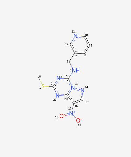 CSc1nc(NCc2cccnc2)n2ncc([N+](=O)[O-])c2n1